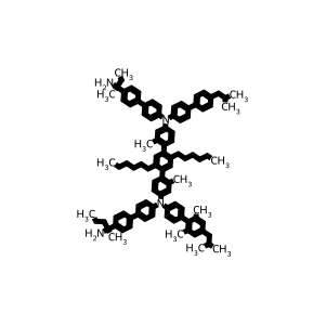 CCCCCCc1cc(-c2ccc(N(c3ccc(-c4ccc(C(C)(N)CCC)cc4)cc3)c3ccc(-c4c(C)cc(CC(C)C)cc4C)cc3)cc2C)c(CCCCCC)cc1-c1ccc(N(c2ccc(-c3ccc(CC(C)C)cc3)cc2)c2ccc(-c3ccc(C(C)(N)CC)cc3)cc2)cc1C